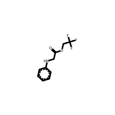 O=C(CNc1ccccc1)OCC(F)(F)F